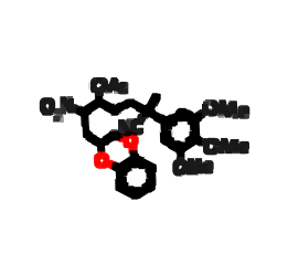 COc1cc(C(C)(C#N)CCC(OC(C)=O)C(CC2COc3ccccc3O2)[N+](=O)[O-])cc(OC)c1OC